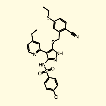 CCSc1ccc(C#N)c(CSc2[nH]nc(NS(=O)(=O)c3ccc(Cl)cc3)c2-c2cc(CC)ccn2)c1